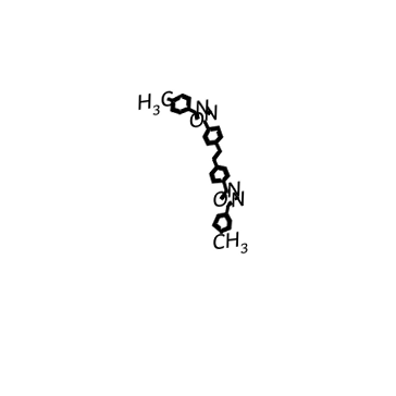 Cc1ccc(-c2nnc(-c3ccc(C=Cc4ccc(-c5nnc(-c6ccc(C)cc6)o5)cc4)cc3)o2)cc1